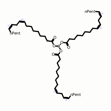 CCCCC/C=C\C/C=C\CCCCCCCC(=O)OB(OC(=O)CCCCCCC/C=C\C/C=C\CCCCC)OC(=O)CCCCCCC/C=C\C/C=C\CCCCC